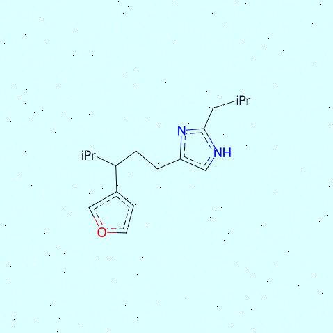 CC(C)Cc1nc(CCC(c2ccoc2)C(C)C)c[nH]1